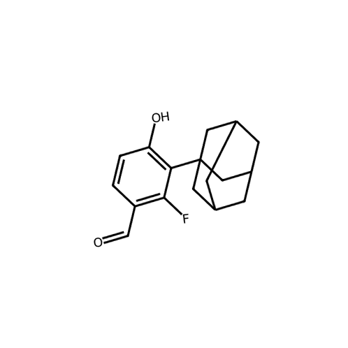 O=Cc1ccc(O)c(C23CC4CC(CC(C4)C2)C3)c1F